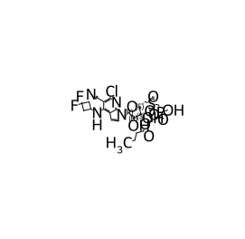 CCCC(=O)OCOP(=O)(O)CS(=O)(=O)C[C@H]1O[C@@H](n2ccc3c(NC4CC(F)(F)C4)c(C#N)c(Cl)nc32)[C@H](O)[C@@H]1O